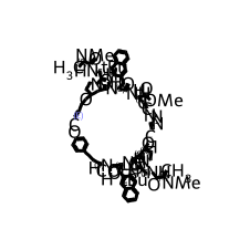 CN[C@@H](C)C(=O)N[C@H](C(=O)N1CCC2OC/C=C/COc3ccc(cc3)C[C@@H](C(=O)O)NC(=O)[C@H](Cc3ccc4ccccc4c3)NC(=O)[C@@H]3[C@@H](CCN3C(=O)[C@@H](NC(=O)[C@H](C)NC)C(C)(C)C)OCc3cn(nn3)CC[C@@H](C(=O)OC)NC(=O)[C@H](Cc3ccc4ccccc4c3)NC(=O)C21)C(C)(C)C